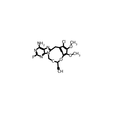 C#CC1CCn2c(nc3c(N)nc(F)nc32)Cc2cc(c(OC)c(OC)c2Cl)O1